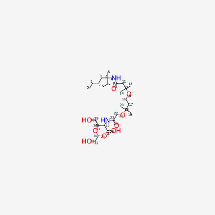 CCCCC(C)(CC)NC(=O)CC(C)(C)OCCC(C)(C)OCC(=O)NC1C(O)OC(CO)O[C@H]1CO